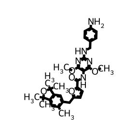 COc1nc(NCc2ccc(N)cc2)nc(OC)c1NC(=O)c1ccc(Cc2cc3c(cc2C)C(C)(C)OC3(C)C)o1